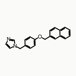 c1ccc2cc(COc3ccc(Cn4ccnc4)cc3)ccc2c1